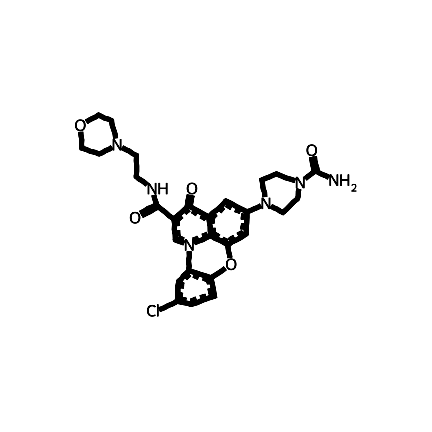 NC(=O)N1CCN(c2cc3c4c(c2)c(=O)c(C(=O)NCCN2CCOCC2)cn4-c2cc(Cl)ccc2O3)CC1